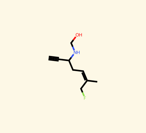 C#CC(C/C=C(/C)CF)NCO